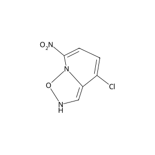 O=[N+]([O-])C1=CC=C(Cl)C2=CNON21